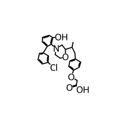 CC(Cc1ccc(OCC(=O)O)cc1)C1CN(c2c(O)cccc2-c2cccc(Cl)c2)CCO1